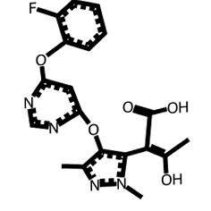 CC(O)=C(C(=O)O)c1c(Oc2cc(Oc3ccccc3F)ncn2)c(C)nn1C